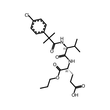 CCCOC(=O)[C@@H](CCC(=O)O)NC(=O)[C@@H](NC(=O)C(C)(C)c1ccc(Cl)cc1)C(C)C